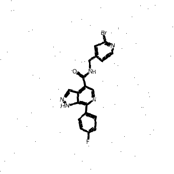 O=C(NCc1ccnc(Br)c1)c1cnc(-c2ccc(F)cc2)c2[nH]ncc12